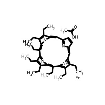 CC(=O)O.CCC1=C(CC)c2nc1c(CC)c1[nH]c(cc3nc(cc4[nH]c(c2CC)c(CC)c4CC)C=C3)c(CC)c1CC.[Fe]